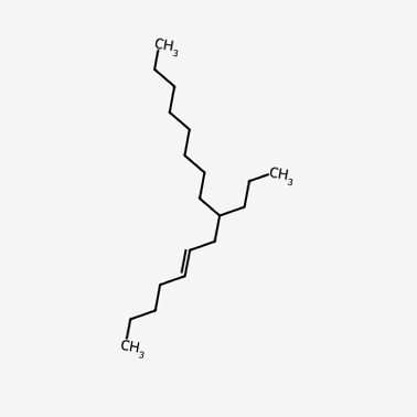 CCCCC=CCC(CCC)CCCCCCCC